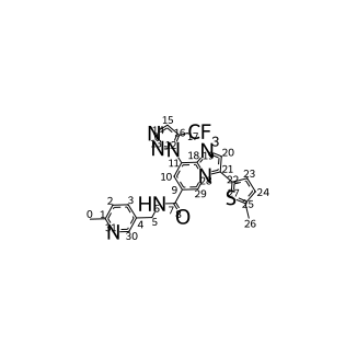 Cc1ccc(CNC(=O)c2cc(-n3nncc3C(F)(F)F)c3ncc(-c4ccc(C)s4)n3c2)cn1